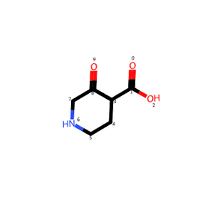 O=C(O)C1CCNCC1=O